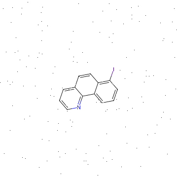 Ic1cccc2c1ccc1cccnc12